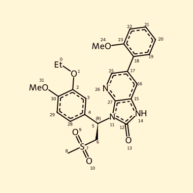 CCOc1cc([C@H](CS(C)(=O)=O)n2c(=O)[nH]c3cc(-c4ccccc4OC)cnc32)ccc1OC